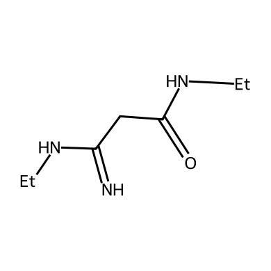 CCNC(=N)CC(=O)NCC